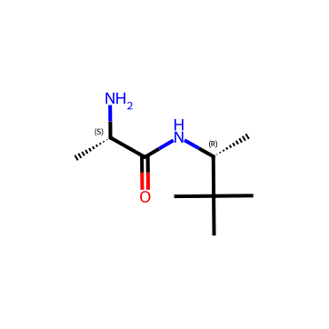 C[C@H](N)C(=O)N[C@H](C)C(C)(C)C